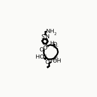 C=CCC[C@@H]1C(=O)C(C)(C)[C@@H](O)CC(=O)O[C@H](c2ccc3sc(CN)nc3c2)C[C@@H]2O[C@@]2(C)CCC[C@H](C)[C@@H]1O